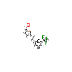 O=Cc1ccc(/C=C/c2cccc(C(F)(F)F)c2)s1